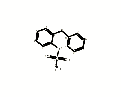 NS(=O)(=O)Oc1ccccc1Cc1ccccc1